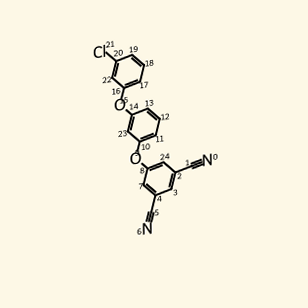 N#Cc1cc(C#N)cc(Oc2cccc(Oc3cccc(Cl)c3)c2)c1